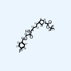 CC(C)(C)OC(=O)N1CCC(CCCCNC(=O)COCc2ccc(F)cc2)C1